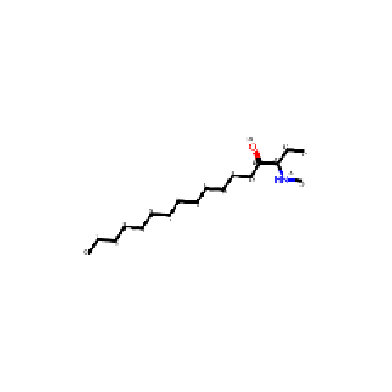 CCCCCCCCCCCCCC(=O)C(CC)NC